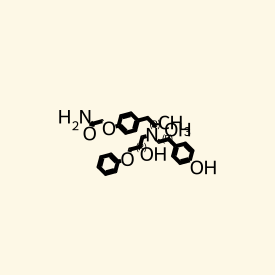 C[C@H](Cc1ccc(OCC(N)=O)cc1)N(C[C@@H](O)COc1ccccc1)C[C@H](O)c1ccc(O)cc1